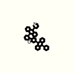 c1ccc(-c2c3ccccc3c(-c3ccc4c(c3)oc3cccc(-c5c6ccccc6c(-c6cccnc6)c6ccccc56)c34)c3ccccc23)cc1